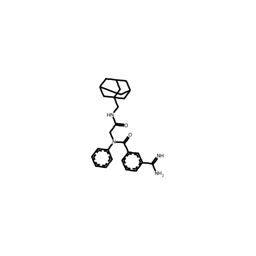 N=C(N)c1cccc(C(=O)N(CC(=O)NCC23CC4CC(CC(C4)C2)C3)c2ccccc2)c1